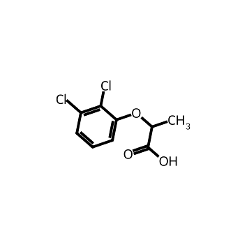 CC(Oc1cccc(Cl)c1Cl)C(=O)O